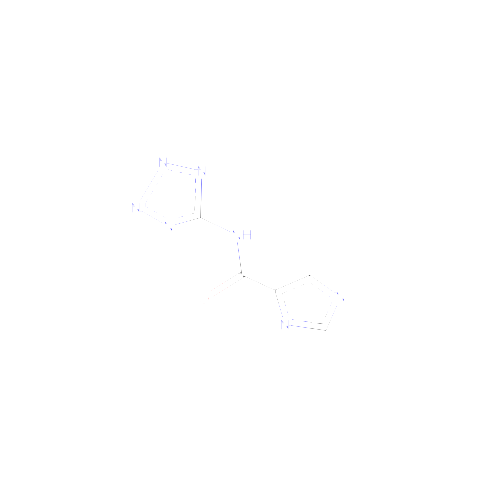 O=C(Nc1nnn[nH]1)c1c[nH]cn1